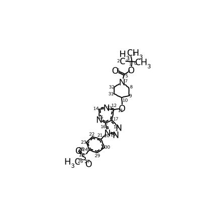 CC(C)(C)OC(=O)N1CCC(Oc2ncnc3c2nnn3-c2ccc(S(C)(=O)=O)cc2)CC1